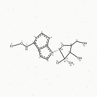 CCONc1ncnc2c1ccn2[C@@H]1OC(CO)C(O)[C@@]1(C)Cl